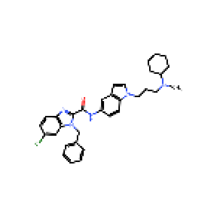 CN(CCCn1ccc2cc(NC(=O)c3nc4ccc(Cl)cc4n3Cc3ccccc3)ccc21)C1CCCCC1